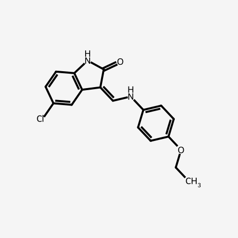 CCOc1ccc(NC=C2C(=O)Nc3ccc(Cl)cc32)cc1